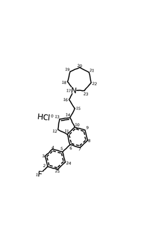 Cl.Fc1ccc(-c2cccc3c2CC=C3CCN2CCCCCC2)cc1